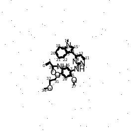 C=CC(=O)Nc1cc(Nc2nccc(-c3cn(C)c4ccccc34)n2)c(OC)cc1OCCOC